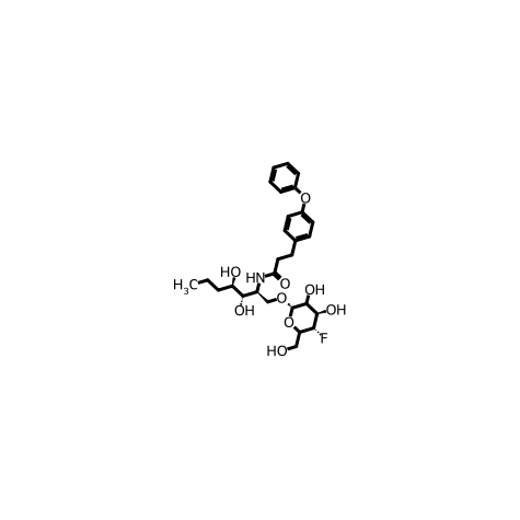 CCC[C@@H](O)[C@@H](O)[C@H](CO[C@H]1OC(CO)[C@@H](F)[C@H](O)C1O)NC(=O)CCc1ccc(Oc2ccccc2)cc1